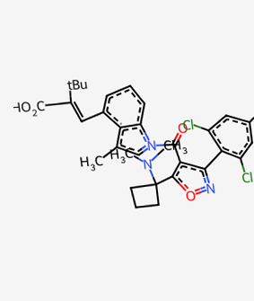 Cc1cn(C(=O)c2c(-c3c(Cl)cc(Cl)cc3Cl)noc2C2(N(C)C)CCC2)c2cccc(/C=C(/C(=O)O)C(C)(C)C)c12